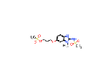 Cn1c(NS(C)(=O)=O)nc2ccc(OCCCOS(C)(=O)=O)cc21